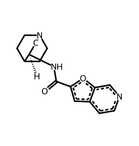 O=C(N[C@@H]1CN2CCC1CC2)c1cc2ccncc2o1